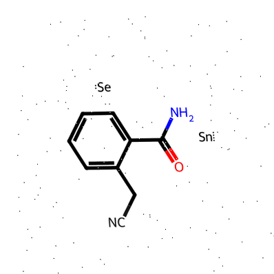 N#CCc1ccccc1C(N)=O.[Se].[Sn]